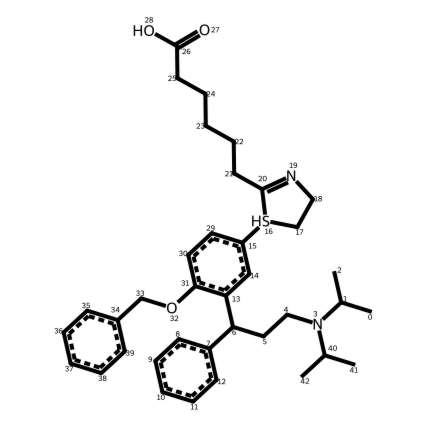 CC(C)N(CCC(c1ccccc1)c1cc([SH]2CCN=C2CCCCCC(=O)O)ccc1OCc1ccccc1)C(C)C